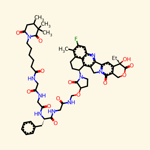 CC[C@@]1(O)C(=O)OCc2c1cc1n(c2=O)Cc2c-1nc1cc(F)c(C)c3c1c2[C@@H](N1CCC(OCNC(=O)CNC(=O)[C@H](Cc2ccccc2)NC(=O)CNC(=O)CNC(=O)CCCCCN2C(=O)CC(C)C(C)(C)C2=O)C1=O)CC3